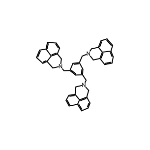 c1cc2c3c(cccc3c1)CN(Cc1cc(CN3Cc4cccc5cccc(c45)C3)cc(CN3Cc4cccc5cccc(c45)C3)c1)C2